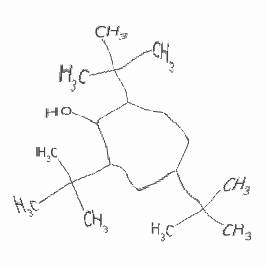 CC(C)(C)C1CCC(C(C)(C)C)C(O)C(C(C)(C)C)C1